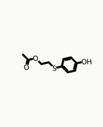 CC(=O)OCCSc1ccc(O)cc1